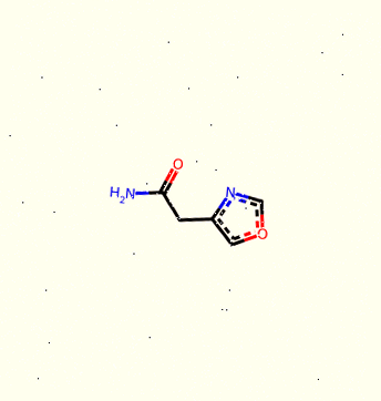 NC(=O)Cc1cocn1